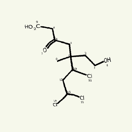 CC(CCO)(CC(=O)CC(=O)O)C(Cl)CC(Cl)Cl